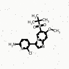 COc1cc2ncc(-c3ccc(N)nc3Cl)n2cc1S(=O)(=O)C(C)(C)C